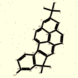 CC(C)(C)c1cc2ccc3cc4c(c5ccc(c1)c2c35)-c1ccc(I)cc1C4(C)C